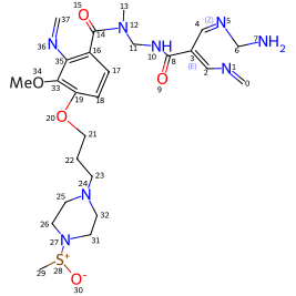 C=N/C=C(\C=N/CN)C(=O)NCN(C)C(=O)c1ccc(OCCCN2CCN([S+](C)[O-])CC2)c(OC)c1N=C